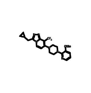 COc1cccnc1N1CCN(c2ccn3c(CC4CC4)nnc3c2C(F)(F)F)CC1